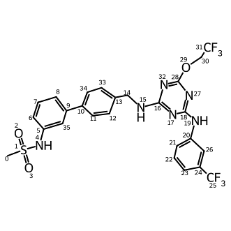 CS(=O)(=O)Nc1cccc(-c2ccc(CNc3nc(Nc4cccc(C(F)(F)F)c4)nc(OCC(F)(F)F)n3)cc2)c1